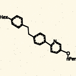 CCCCCCc1ccc(CCc2ccc(-c3ccc(OCCCCC)cn3)cc2)cc1